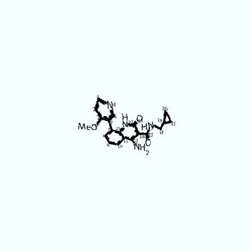 COc1ccncc1-c1cccc2c(N)c(C(=O)NCC3CC3)c(=O)[nH]c12